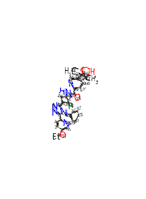 CCOc1ccc(-c2nnc(C3CC(NC(=O)c4ccc(C(C)(C)O)cn4)C3)n2-c2ccccc2F)nc1